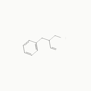 CCC([C]=O)Cc1ccccc1